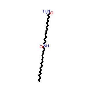 CCCCCCCCCCCCCCCCCC(=O)NCCCCCCCCCCCCCCCC(N)=O